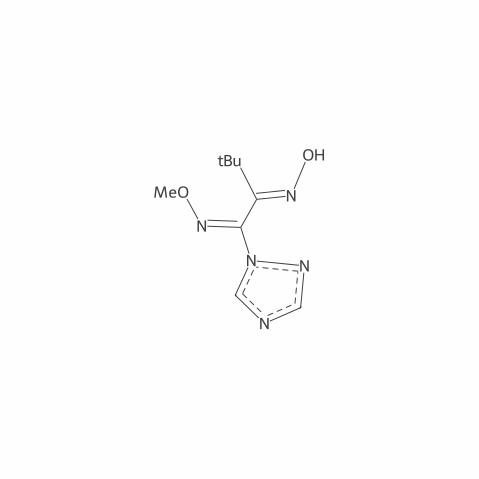 CON=C(C(=NO)C(C)(C)C)n1cncn1